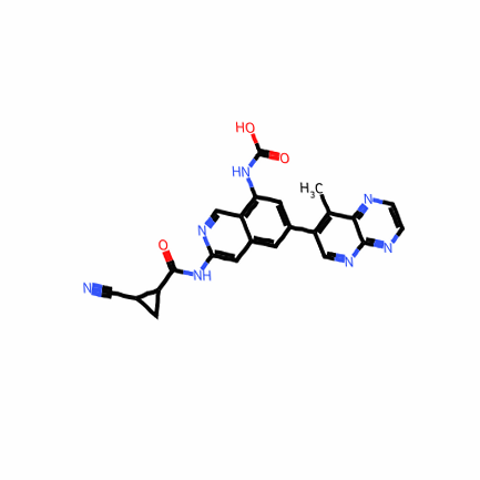 Cc1c(-c2cc(NC(=O)O)c3cnc(NC(=O)C4CC4C#N)cc3c2)cnc2nccnc12